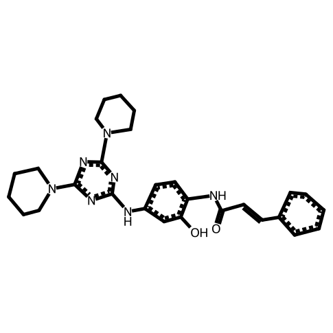 O=C(/C=C/c1ccccc1)Nc1ccc(Nc2nc(N3CCCCC3)nc(N3CCCCC3)n2)cc1O